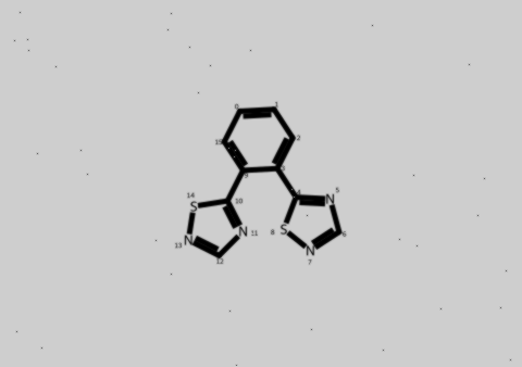 c1ccc(-c2ncns2)c(-c2ncns2)c1